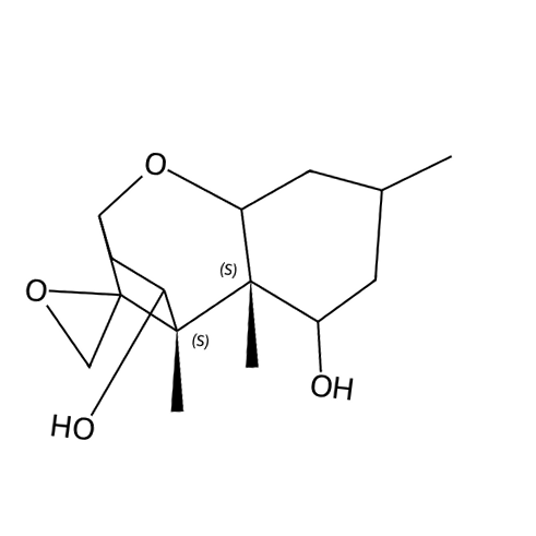 CC1CC(O)[C@@]2(C)C(C1)OC1CC(O)[C@@]2(C)C12CO2